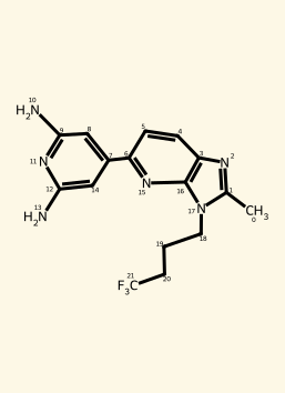 Cc1nc2ccc(-c3cc(N)nc(N)c3)nc2n1CCCC(F)(F)F